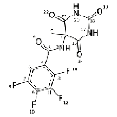 CC1(NC(=O)c2cc(F)c(F)c(F)c2F)C(=O)NC(=O)NC1=O